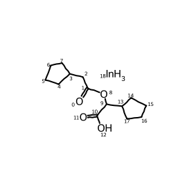 O=C(CC1CCCC1)OC(C(=O)O)C1CCCC1.[InH3]